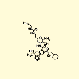 C#CCNC(=O)NCCCCC(NC(=O)[C@@H]1C[C@H](n2nncc2C(C)(C)O)CN1C(=O)C(N)CC1CCCCC1)C(O)C(N)=O